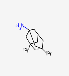 CC(C)C12CC3CC(N)(C1)CC(C(C)C)(C3)C2